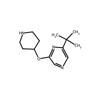 CC(C)(C)c1cncc(OC2CCNCC2)n1